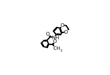 CC(=O)c1ccccc1C(=O)Nc1ccc2c(c1)OCCO2